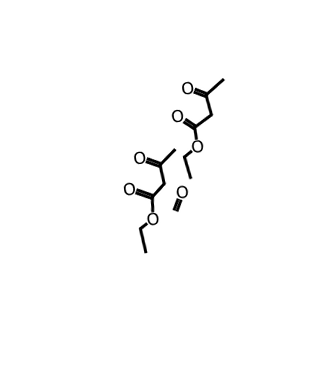 C=O.CCOC(=O)CC(C)=O.CCOC(=O)CC(C)=O